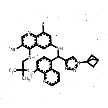 CC(C)(CNc1c(C#N)cnc2c(Cl)cc(NC(c3cn(C45CC(C4)C5)nn3)c3ccc(F)c4ncccc34)cc12)C(F)(F)F